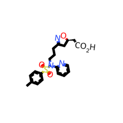 Cc1ccc(S(=O)(=O)N(CCCC2=NO[C@@H](CC(=O)O)C2)c2ccccn2)cc1